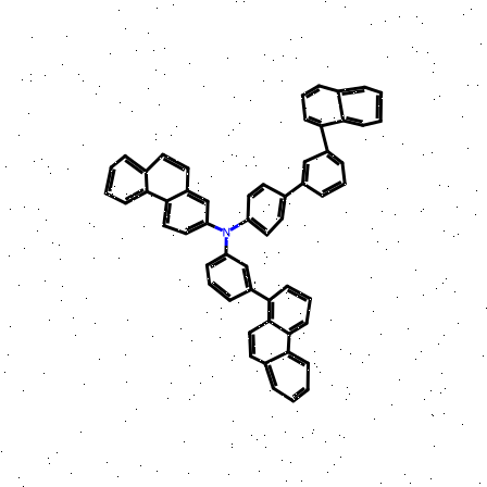 c1cc(-c2ccc(N(c3cccc(-c4cccc5c4ccc4ccccc45)c3)c3ccc4c(ccc5ccccc54)c3)cc2)cc(-c2cccc3ccccc23)c1